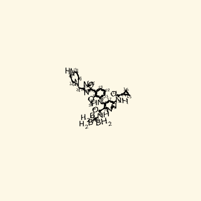 BC(B)(B)NC(=O)c1nnc(NC(=O)C2CC2)cc1Nc1cccc(-c2nc(CN3CCNCC3)no2)c1OC